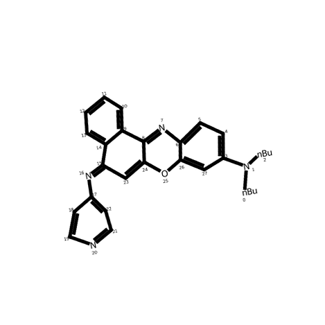 CCCCN(CCCC)c1ccc2nc3c4ccccc4c(=Nc4ccncc4)cc-3oc2c1